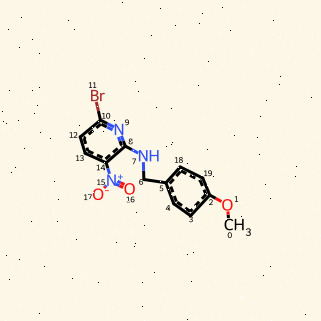 COc1ccc(CNc2nc(Br)ccc2[N+](=O)[O-])cc1